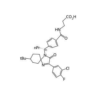 CCC[C@H](c1ccc(C(=O)NCCC(=O)O)cc1)N1C(=O)C(c2ccc(F)c(Cl)c2)=NC12CCC(C(C)(C)C)CC2